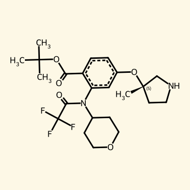 CC(C)(C)OC(=O)c1ccc(O[C@@]2(C)CCNC2)cc1N(C(=O)C(F)(F)F)C1CCOCC1